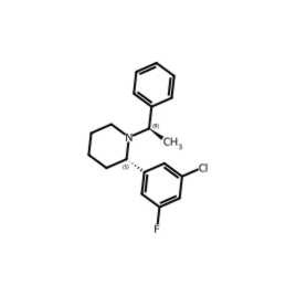 C[C@H](c1ccccc1)N1CCCC[C@H]1c1cc(F)cc(Cl)c1